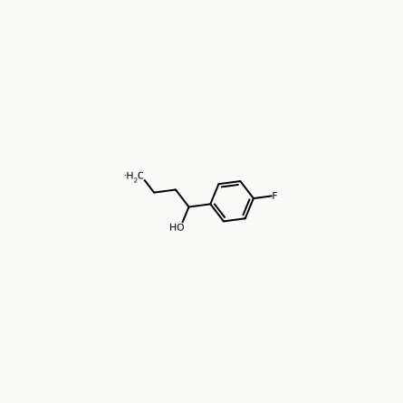 [CH2]CCC(O)c1ccc(F)cc1